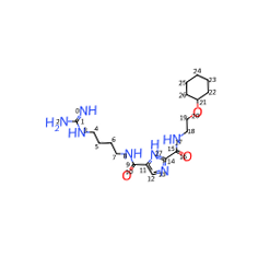 N=C(N)NCCCCNC(=O)c1cnc(C(=O)NCCOC2CCCCC2)[nH]1